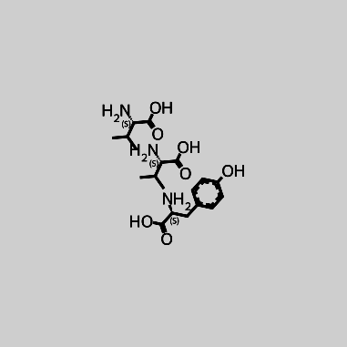 CC(C)[C@H](N)C(=O)O.CC(C)[C@H](N)C(=O)O.N[C@@H](Cc1ccc(O)cc1)C(=O)O